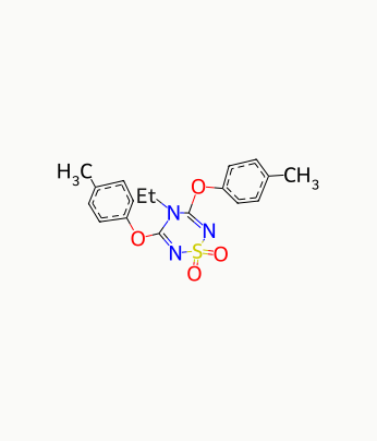 CCN1C(Oc2ccc(C)cc2)=NS(=O)(=O)N=C1Oc1ccc(C)cc1